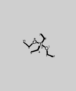 CC[O][Ti]([CH2]C)([CH2]C)[O]CC